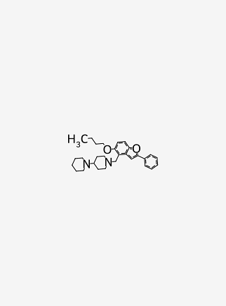 CCCCOc1ccc2oc(-c3ccccc3)cc2c1CN1CCC(N2CCCCC2)CC1